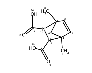 CC12C=CC(C)(C1)N(C(=O)O)N2C(=O)O